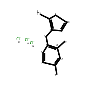 Cc1ccc(CC2=[C]([Ti+3])CC=C2)c(C)c1.[Cl-].[Cl-].[Cl-]